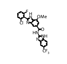 COc1cc(C(=O)Nc2nc3cc(C(F)(F)F)ccc3[nH]2)cc2nc(-c3c(F)cccc3Cl)[nH]c12